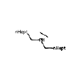 CC.CCCCCCCCPCCCCCCCC